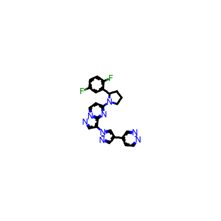 Fc1ccc(F)c(C2CCCN2c2ccn3ncc(-n4cc(-c5ccnnc5)cn4)c3n2)c1